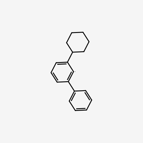 [c]1c(-c2ccccc2)cccc1C1CCCCC1